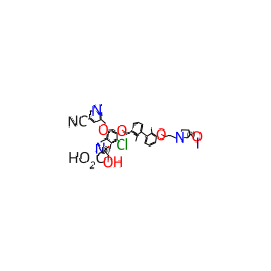 Cc1c(COc2cc(OCc3cncc(C#N)c3)c(CN(C)[C@@](C)(CO)C(=O)O)c(C)c2Cl)cccc1-c1cccc(OCCCN2CC[C@@H](OI)C2)c1C